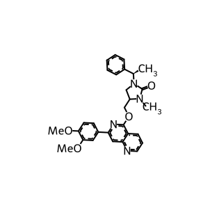 COc1ccc(-c2cc3ncccc3c(OCC3CN([C@H](C)c4ccccc4)C(=O)N3C)n2)cc1OC